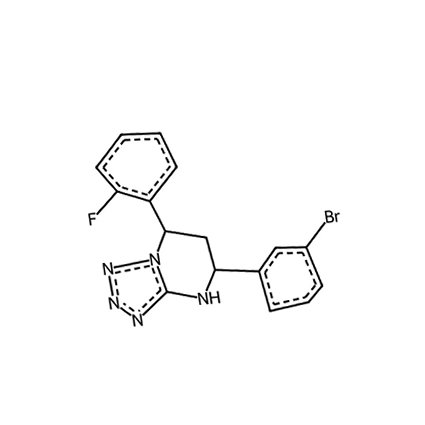 Fc1ccccc1C1CC(c2cccc(Br)c2)Nc2nnnn21